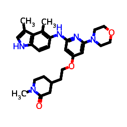 Cc1c[nH]c2ccc(Nc3cc(OCCC4CCN(C)C(=O)C4)cc(N4CCOCC4)n3)c(C)c12